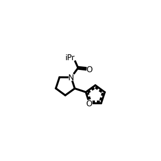 CC(C)C(=O)N1CCCC1c1ccco1